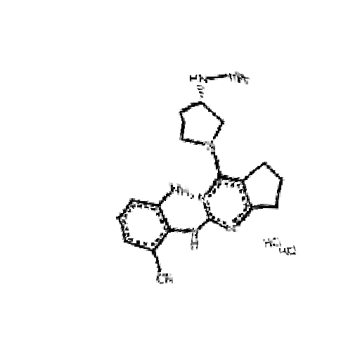 CCCN[C@H]1CCN(c2nc(Nc3c(N)cccc3C#N)nc3c2CCC3)C1.Cl.Cl